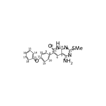 CSc1nc(N)c2cc(-c3ccc(Oc4ccccc4)cc3)c(=O)[nH]c2n1